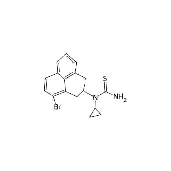 NC(=S)N(C1CC1)C1Cc2cccc3ccc(Br)c(c23)C1